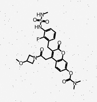 CNS(=O)(=O)Nc1cccc(Cc2c(CC(=O)N3CC(OC)C3)c3ccc(OC(=O)N(C)C)cc3oc2=O)c1F